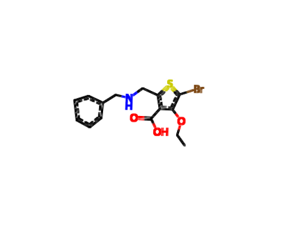 CCOc1c(Br)sc(CNCc2ccccc2)c1C(=O)O